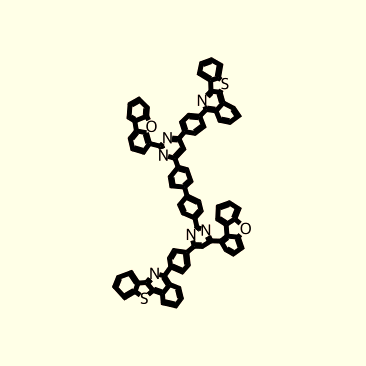 c1ccc2c(c1)oc1c(-c3nc(-c4ccc(-c5ccc(-c6nc(-c7ccc(-c8nc9c%10ccccc%10sc9c9ccccc89)cc7)cc(-c7cccc8oc9ccccc9c78)n6)cc5)cc4)cc(-c4ccc(-c5nc6c7ccccc7sc6c6ccccc56)cc4)n3)cccc12